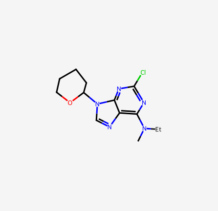 CCN(C)c1nc(Cl)nc2c1ncn2C1CCCCO1